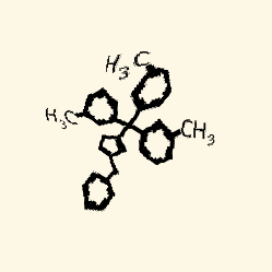 Cc1cccc(C(C2=CC(Cc3ccccc3)=CC2)(c2cccc(C)c2)c2cccc(C)c2)c1